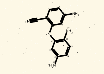 N#Cc1ccc(N)cc1Sc1cc(N)ccc1N